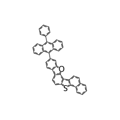 c1ccc(-c2c3ccccc3c(-c3ccc4c(c3)oc3c4ccc4sc5c6ccccc6ccc5c43)c3ccccc23)cc1